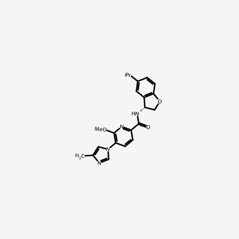 COc1nc(C(=O)N[C@H]2COc3ccc(C(C)C)cc32)ccc1-n1cnc(C)c1